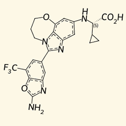 Nc1nc2cc(-c3nc4cc(N[C@H](C(=O)O)C5CC5)cc5c4n3CCCO5)cc(C(F)(F)F)c2o1